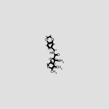 Cc1nnc2sc(C(=O)NCc3ccc4c(c3)OCCO4)c(N)c2c1C